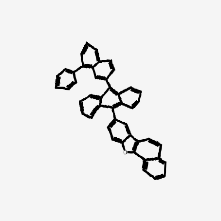 c1ccc(-c2cccc3ccc(-c4c5ccccc5c(-c5ccc6oc7c8ccccc8ccc7c6c5)c5ccccc45)cc23)cc1